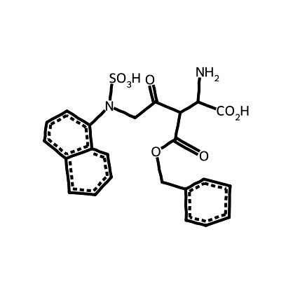 NC(C(=O)O)C(C(=O)CN(c1cccc2ccccc12)S(=O)(=O)O)C(=O)OCc1ccccc1